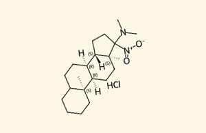 CN(C)C1([N+](=O)[O-])CC[C@H]2[C@@H]3CCC4CCCC[C@]4(C)[C@@H]3CC[C@@]21C.Cl